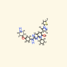 Cc1ccc(-n2nc(C)c(-c3cc4cnc(Nc5ccc(OC6CCNCC6)cc5)nc4n(-c4ccccc4)c3=O)c2C)s1